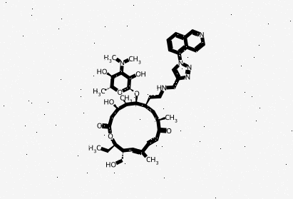 CC[C@H]1OC(=O)C[C@@H](O)[C@H](C)[C@@H](O[C@@H]2O[C@H](C)[C@@H](O)C(N(C)C)C2O)[C@@H](CCNCc2cn(-c3cccc4cnccc34)nn2)C[C@@H](C)C(=O)/C=C/C(C)=C/[C@@H]1CO